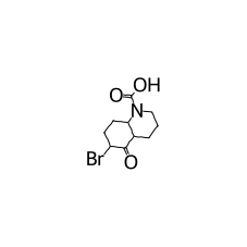 O=C1C(Br)CCC2C1CCCN2C(=O)O